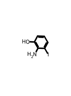 Nc1c(O)cccc1I